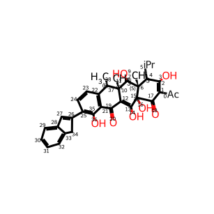 CC(=O)C1=C(O)C(C(C)C)[C@@]2(C)[C@H](O)[C@]3(C)C(=C(O)[C@@]2(O)C1=O)C(=O)c1c(ccc(C2=Cc4ccccc4C2)c1O)[C@H]3C